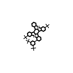 CC(C)(C)c1cc(-c2cccc3c4c5c6ccc(C(C)(C)C)cc6n6c7ccccc7c(c7c8ccc(C(C)(C)C)cc8n(c23)c74)c56)cc(C(C)(C)C)c1